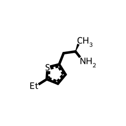 CCc1ccc(C[C@@H](C)N)s1